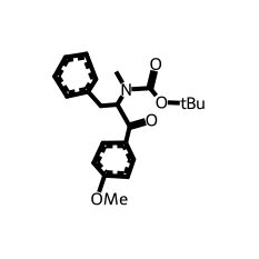 COc1ccc(C(=O)C(Cc2ccccc2)N(C)C(=O)OC(C)(C)C)cc1